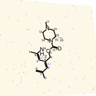 C=C(C)/C=C(\C=C(\C)N)COC(=O)N1CCN(C)C[C@@H]1C